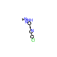 CN(c1nc2cc(C#Cc3ccc(-c4ccc(Cl)cc4)cn3)ccc2[nH]1)C1CC1